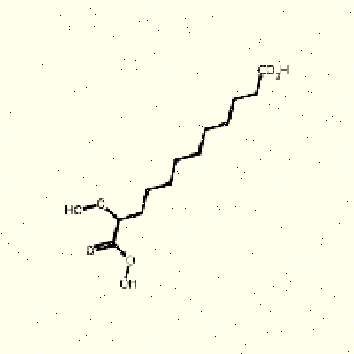 O=C(O)CCCCCCCCCC(OO)C(=O)OO